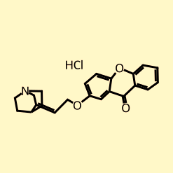 Cl.O=c1c2ccccc2oc2ccc(OC/C=C3\CN4CCC3CC4)cc12